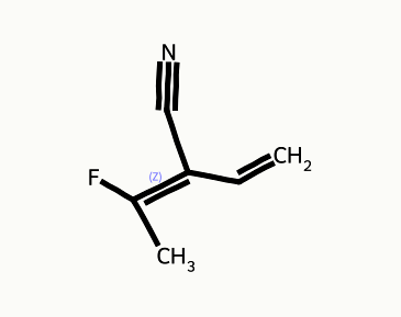 C=C/C(C#N)=C(\C)F